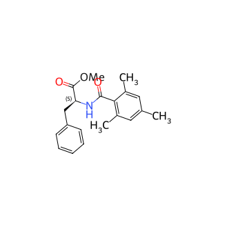 COC(=O)[C@H](Cc1ccccc1)NC(=O)c1c(C)cc(C)cc1C